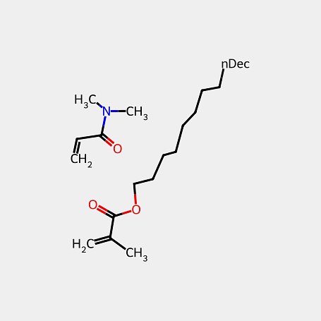 C=C(C)C(=O)OCCCCCCCCCCCCCCCCCC.C=CC(=O)N(C)C